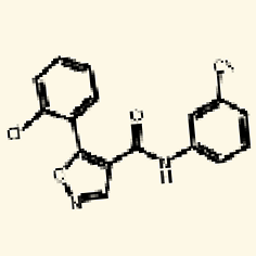 N#Cc1cccc(NC(=O)c2cnoc2-c2ccccc2Cl)c1